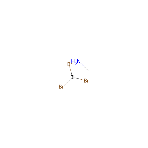 CN.[Br][Bi]([Br])[Br]